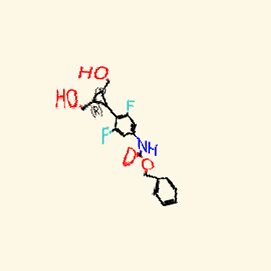 O=C(Nc1cc(F)c(C2[C@@H](CO)[C@H]2CO)c(F)c1)OCc1ccccc1